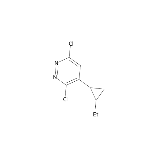 CCC1CC1c1cc(Cl)nnc1Cl